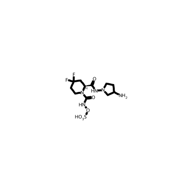 NC1CCN(NC(=O)[C@@H]2CC(F)(F)CCN2C(=O)NOS(=O)(=O)O)C1